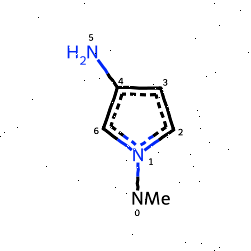 CNn1ccc(N)c1